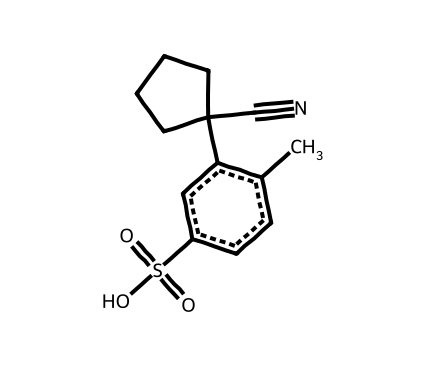 Cc1ccc(S(=O)(=O)O)cc1C1(C#N)CCCC1